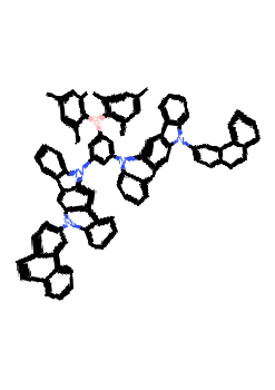 Cc1cc(C)c(B(c2cc(-n3c4ccccc4c4cc5c(cc43)c3ccccc3n5-c3ccc4ccc5ccccc5c4c3)cc(-n3c4ccccc4c4cc5c(cc43)c3ccccc3n5-c3ccc4ccc5ccccc5c4c3)c2)c2c(C)cc(C)cc2C)c(C)c1